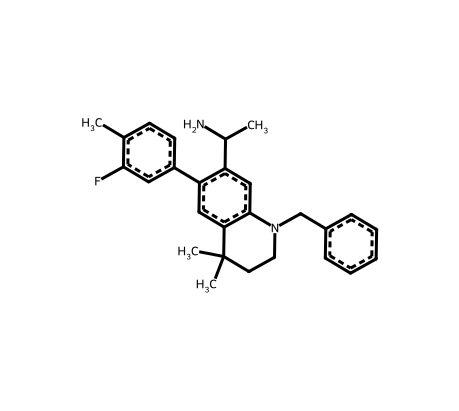 Cc1ccc(-c2cc3c(cc2C(C)N)N(Cc2ccccc2)CCC3(C)C)cc1F